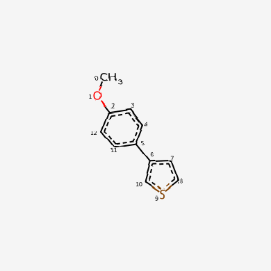 COc1ccc(-c2c[c]sc2)cc1